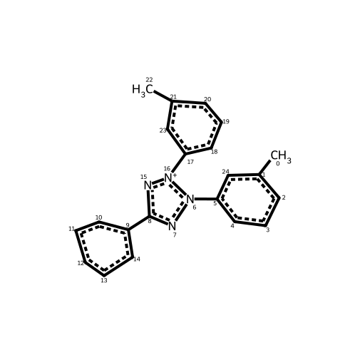 Cc1cccc(-n2nc(-c3ccccc3)n[n+]2-c2cccc(C)c2)c1